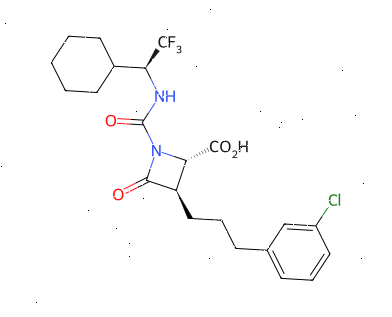 O=C(O)[C@@H]1[C@@H](CCCc2cccc(Cl)c2)C(=O)N1C(=O)N[C@@H](C1CCCCC1)C(F)(F)F